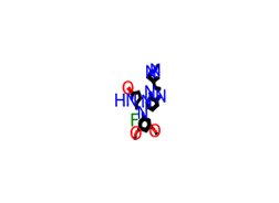 COc1cc(OC)c(F)c(N(CC2CCC(=O)N2)c2ccc3ncc(-c4cnn(C)c4)nc3n2)c1